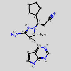 N#CC[C@H](C1CCCC1)N1N=C(N)C2[C@@H](c3ncnc4[nH]ccc34)[C@@H]21